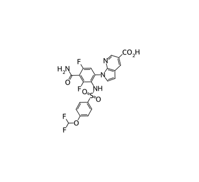 NC(=O)c1c(F)cc(-n2ccc3cc(C(=O)O)cnc32)c(NS(=O)(=O)c2ccc(OC(F)F)cc2)c1F